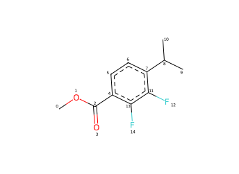 COC(=O)c1ccc(C(C)C)c(F)c1F